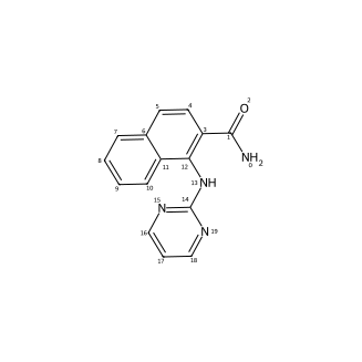 NC(=O)c1ccc2ccccc2c1Nc1ncccn1